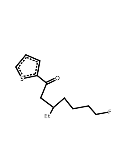 CCC(CCCCF)CC(=O)c1cccs1